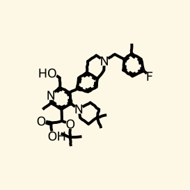 Cc1cc(F)ccc1CN1CCc2cc(-c3c(CO)nc(C)c(C(OC(C)(C)C)C(=O)O)c3N3CCC(C)(C)CC3)ccc2C1